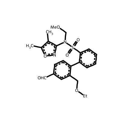 CCOCc1cc(C=O)ccc1-c1ccccc1S(=O)(=O)N(COC)c1noc(C)c1C